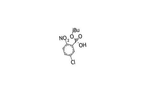 CCC(C)OP(=O)(O)c1cc(Cl)ccc1[N+](=O)[O-]